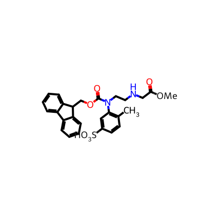 COC(=O)CNCCN(C(=O)OCC1c2ccccc2-c2ccccc21)c1cc(S(=O)(=O)O)ccc1C